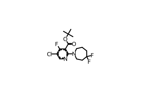 CC(C)(C)OC(=O)c1c(N2CCCC(F)(F)CC2)ncc(Cl)c1F